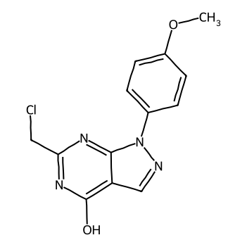 COc1ccc(-n2ncc3c(O)nc(CCl)nc32)cc1